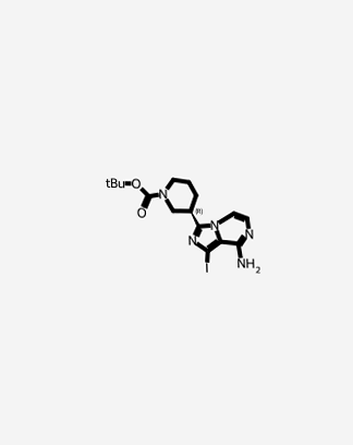 CC(C)(C)OC(=O)N1CCC[C@@H](c2nc(I)c3c(N)nccn23)C1